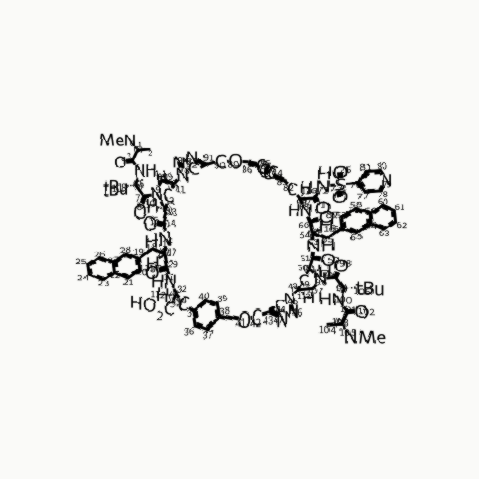 CN[C@@H](C)C(=O)N[C@H](C(=O)N1C[C@@H]2C[C@H]1C(=O)N[C@@H](Cc1ccc3ccccc3c1)C(=O)N[C@H](C(=O)O)Cc1ccc(cc1)OCc1cn(nn1)[C@H]1C[C@@H](C(=O)N[C@@H](Cc3ccc4ccccc4c3)C(=O)N[C@H](C(=O)NS(=O)(=O)c3ccncc3)Cc3ccc(cc3)OCc3cn2nn3)N(C(=O)[C@@H](NC(=O)[C@H](C)NC)C(C)(C)C)C1)C(C)(C)C